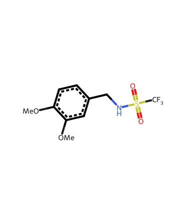 COc1ccc(CNS(=O)(=O)C(F)(F)F)cc1OC